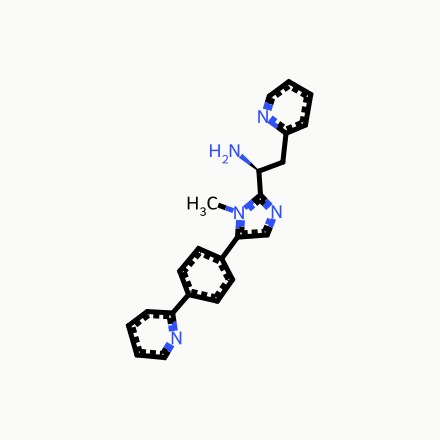 Cn1c(-c2ccc(-c3ccccn3)cc2)cnc1[C@@H](N)Cc1ccccn1